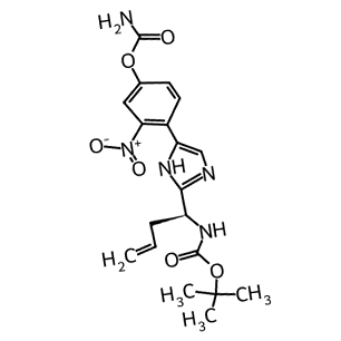 C=CC[C@H](NC(=O)OC(C)(C)C)c1ncc(-c2ccc(OC(N)=O)cc2[N+](=O)[O-])[nH]1